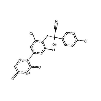 N#CC(O)(Cc1c(Cl)cc(-n2ncc(=O)[nH]c2=O)cc1Cl)c1ccc(Cl)cc1